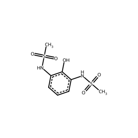 CS(=O)(=O)Nc1cccc(NS(C)(=O)=O)c1O